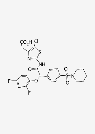 O=C(O)Cc1nc(NC(=O)C(Oc2ccc(F)cc2F)c2ccc(S(=O)(=O)N3CCCCC3)cc2)sc1Cl